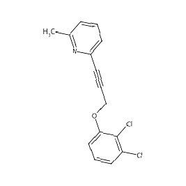 Cc1cccc(C#CCOc2cccc(Cl)c2Cl)n1